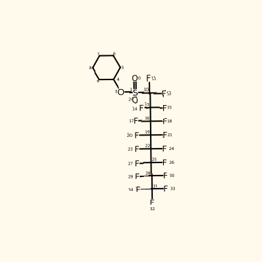 O=S(=O)(OC1CCCCC1)C(F)(F)C(F)(F)C(F)(F)C(F)(F)C(F)(F)C(F)(F)C(F)(F)C(F)(F)F